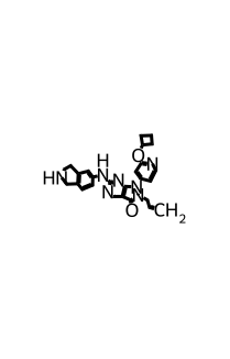 C=CCn1c(=O)c2cnc(Nc3ccc4c(c3)CCNC4)nc2n1-c1ccnc(OC2CCC2)c1